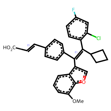 COc1cccc2c(/C(=C(/c3ccc(F)cc3Cl)C3CCC3)c3ccc(/C=C/C(=O)O)cc3)coc12